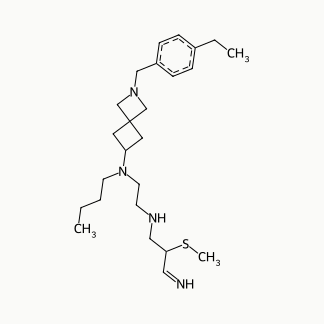 CCCCN(CCNCC(C=N)SC)C1CC2(C1)CN(Cc1ccc(CC)cc1)C2